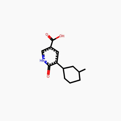 CC1CCCC(c2cc(C(=O)O)c[nH]c2=O)C1